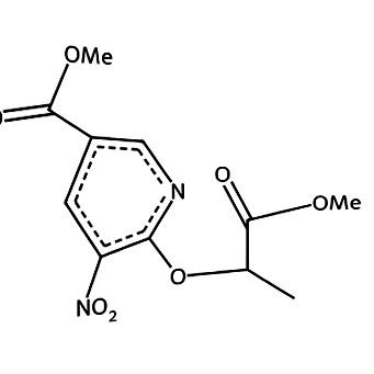 COC(=O)c1cnc(OC(C)C(=O)OC)c([N+](=O)[O-])c1